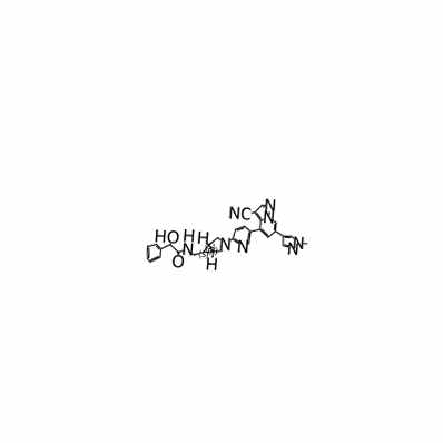 Cn1cc(-c2cc(-c3ccc(N4C[C@@H]5[C@@H](CNC(=O)C(O)c6ccccc6)[C@@H]5C4)nc3)c3c(C#N)cnn3c2)cn1